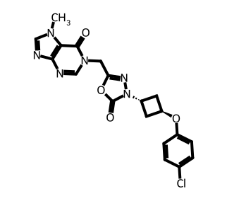 Cn1cnc2ncn(Cc3nn([C@H]4C[C@H](Oc5ccc(Cl)cc5)C4)c(=O)o3)c(=O)c21